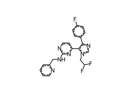 Fc1ccc(-c2ncn(CC(F)F)c2-c2ccnc(NCc3ccccn3)n2)cc1